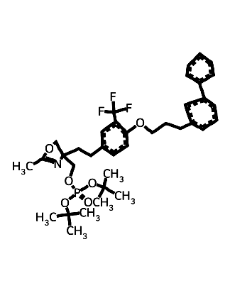 CC1=NC(CCc2ccc(OCCCc3cccc(-c4ccccc4)c3)c(C(F)(F)F)c2)(COP(=O)(OC(C)(C)C)OC(C)(C)C)CO1